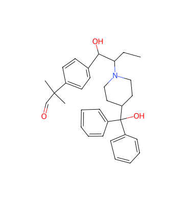 CCC(C(O)c1ccc(C(C)(C)C=O)cc1)N1CCC(C(O)(c2ccccc2)c2ccccc2)CC1